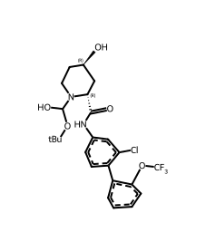 CC(C)(C)OC(O)N1CC[C@@H](O)C[C@@H]1C(=O)Nc1ccc(-c2ccccc2OC(F)(F)F)c(Cl)c1